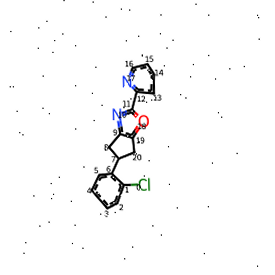 Clc1ccccc1C1Cc2nc(-c3ccccn3)oc2C1